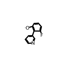 [O]c1cccc(F)c1-c1cccnc1